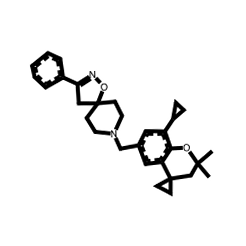 CC1(C)CC2(CC2)c2cc(CN3CCC4(CC3)CC(c3ccccc3)=NO4)cc(C3CC3)c2O1